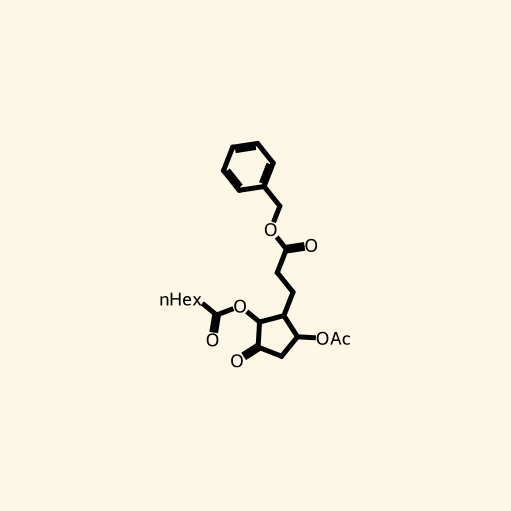 CCCCCCC(=O)OC1C(=O)CC(OC(C)=O)C1CCC(=O)OCc1ccccc1